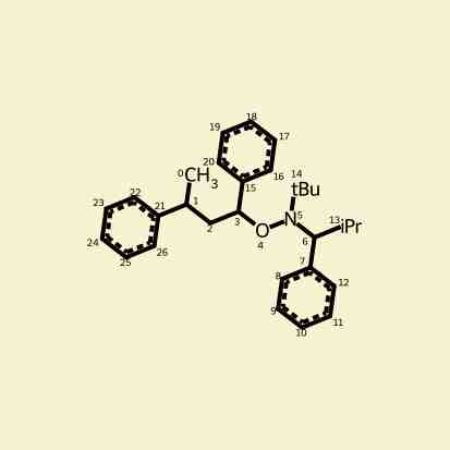 CC(CC(ON(C(c1ccccc1)C(C)C)C(C)(C)C)c1ccccc1)c1ccccc1